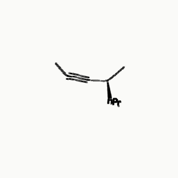 CC#C[C@@H](C)CCC